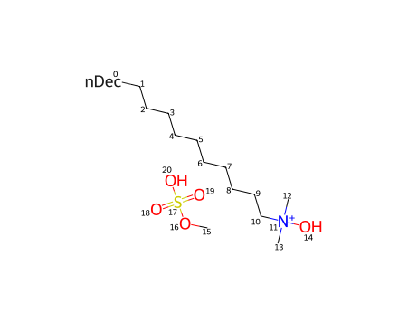 CCCCCCCCCCCCCCCCCCCC[N+](C)(C)O.COS(=O)(=O)O